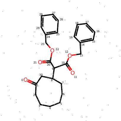 O=C1CCCCCCC(C(C(=O)OCc2ccccc2)C(=O)OCc2ccccc2)C1